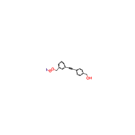 OCc1ccc(C#Cc2cccc(COOI)c2)cc1